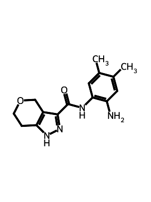 Cc1cc(N)c(NC(=O)c2n[nH]c3c2COCC3)cc1C